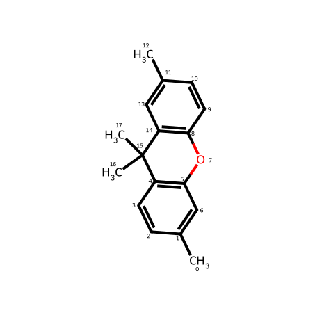 Cc1ccc2c(c1)Oc1ccc(C)cc1C2(C)C